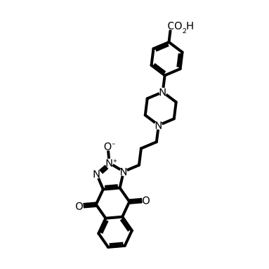 O=C(O)c1ccc(N2CCN(CCCn3c4c(n[n+]3[O-])C(=O)c3ccccc3C4=O)CC2)cc1